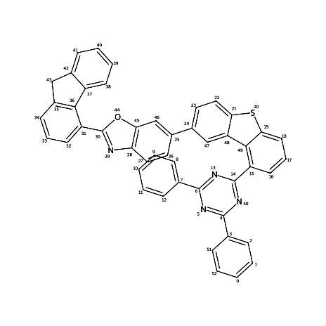 c1ccc(-c2nc(-c3ccccc3)nc(-c3cccc4sc5ccc(-c6ccc7nc(-c8cccc9c8-c8ccccc8C9)oc7c6)cc5c34)n2)cc1